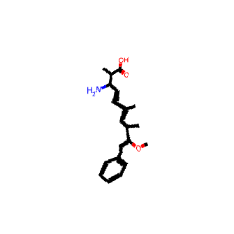 COC(Cc1ccccc1)C(C)/C=C(C)/C=C/C(N)C(C)C(=O)O